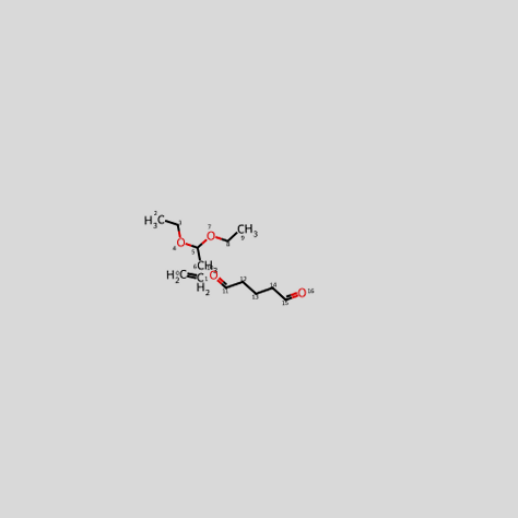 C=C.CCOC(C)OCC.O=CCCCC=O